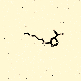 CCOCCCNc1cc(C(=O)O)ncn1